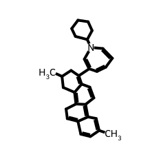 Cc1ccc2c(c1)=c1ccc3c(c1CC=2)CC(C)CC=3C1=CN(C2CCCCC2)C=CC=C1